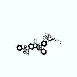 CS(=O)(=O)N(CCN)c1ccc(NC2(C=C3C(=O)Nc4ccc(NS(=O)(=O)c5ccccc5)cc43)C=CC=CC2)cc1